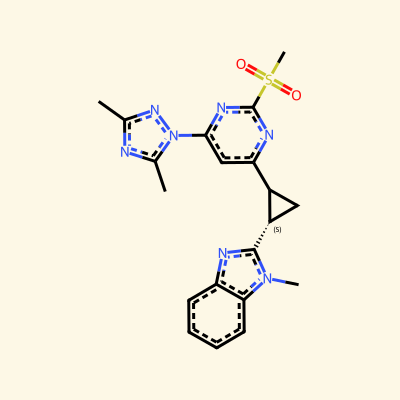 Cc1nc(C)n(-c2cc(C3C[C@@H]3c3nc4ccccc4n3C)nc(S(C)(=O)=O)n2)n1